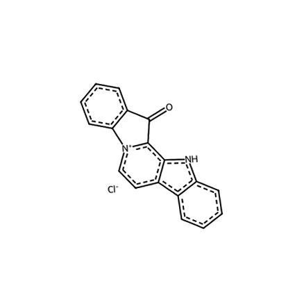 O=C1c2ccccc2-[n+]2ccc3c([nH]c4ccccc43)c21.[Cl-]